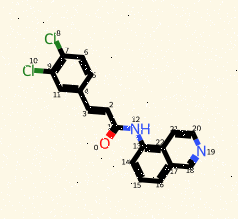 O=C(C=Cc1ccc(Cl)c(Cl)c1)Nc1cccc2cnccc12